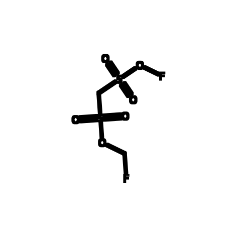 O=S(=O)(CS(=O)(=O)OCF)OF